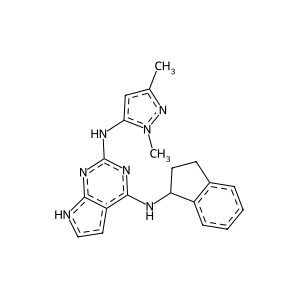 Cc1cc(Nc2nc(NC3CCc4ccccc43)c3cc[nH]c3n2)n(C)n1